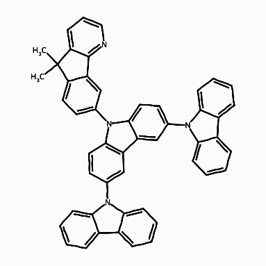 CC1(C)c2ccc(-n3c4ccc(-n5c6ccccc6c6ccccc65)cc4c4cc(-n5c6ccccc6c6ccccc65)ccc43)cc2-c2ncccc21